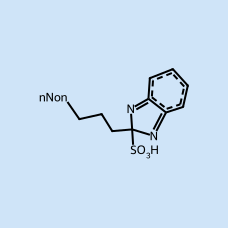 CCCCCCCCCCCCC1(S(=O)(=O)O)N=c2ccccc2=N1